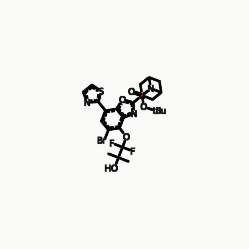 CC(C)(C)OC(=O)N1C2CC1CN(c1nc3c(OC(F)(F)C(C)(C)O)c(Br)cc(-c4nccs4)c3o1)C2